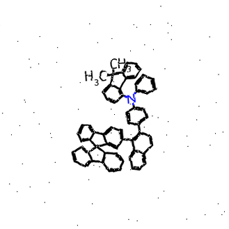 CC1(C)c2ccccc2-c2c(N(c3ccccc3)c3ccc(-c4ccc5ccccc5c4-c4ccc5c(c4)C4(c6ccccc6-5)c5ccccc5C5C=CC=CC54)cc3)cccc21